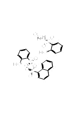 C=O.O=S(=O)(O)c1ccccc1O.O=S(=O)(OS(=O)(=O)c1cccc2ccccc12)c1ccccc1O